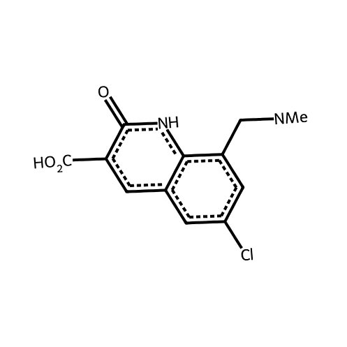 CNCc1cc(Cl)cc2cc(C(=O)O)c(=O)[nH]c12